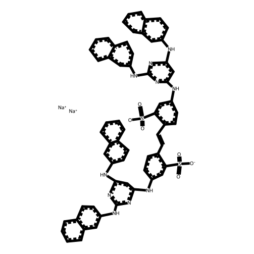 O=S(=O)([O-])c1cc(Nc2cc(Nc3ccc4ccccc4c3)nc(Nc3ccc4ccccc4c3)n2)ccc1C=Cc1ccc(Nc2cc(Nc3ccc4ccccc4c3)nc(Nc3ccc4ccccc4c3)n2)cc1S(=O)(=O)[O-].[Na+].[Na+]